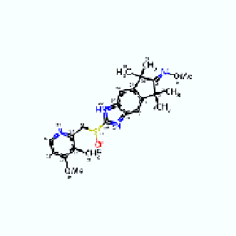 CON=C1C(C)(C)c2cc3nc([S+]([O-])Cc4nccc(OC)c4C)[nH]c3cc2C1(C)C